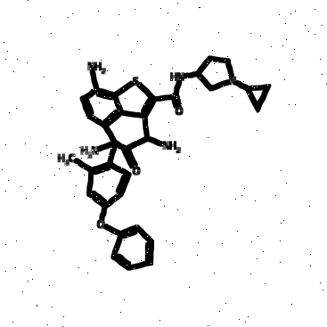 Cc1cc(Oc2ccccc2)ccc1C1(N)C(=O)C(N)c2c(C(=O)NC3CCN(C4CC4)C3)sc3c(N)ccc1c23